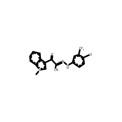 Cn1cc(C(=O)/C(C#N)=N/Nc2ccc(Cl)c(C(F)(F)F)c2)c2ccccc21